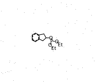 CCOP(OCC)OC1Cc2ccccc2C1